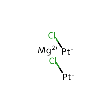 [Cl][Pt-].[Cl][Pt-].[Mg+2]